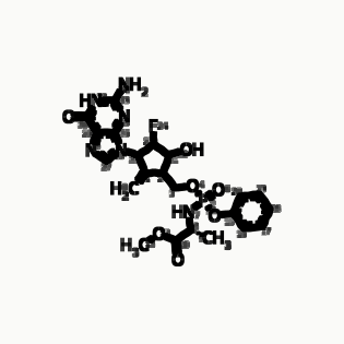 C=C1C(COP(=O)(N[C@H](C)C(=O)OC)Oc2ccccc2)C(O)C(F)C1n1cnc2c(=O)[nH]c(N)nc21